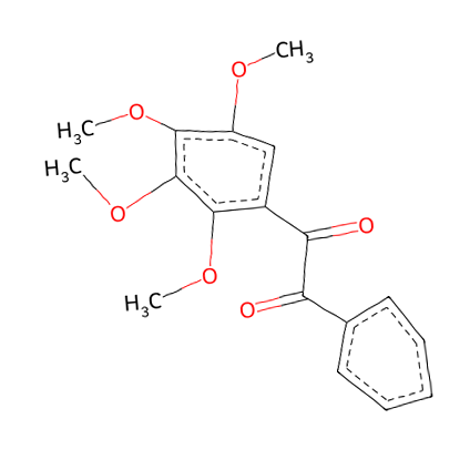 COc1cc(C(=O)C(=O)c2ccccc2)c(OC)c(OC)c1OC